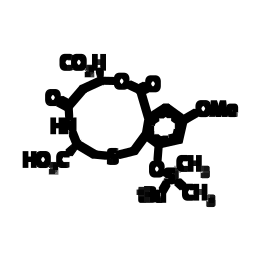 COc1cc(O[Si](C)(C)C(C)(C)C)c2c(c1)C(=O)O[C@H](C(=O)O)CC(=O)N[C@H](C(=O)O)CSC2